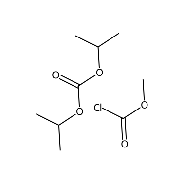 CC(C)OC(=O)OC(C)C.COC(=O)Cl